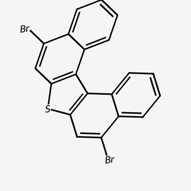 Brc1cc2sc3cc(Br)c4ccccc4c3c2c2ccccc12